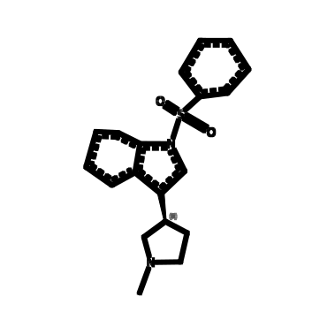 CN1CC[C@H](c2cn(S(=O)(=O)c3ccccc3)c3ccccc23)C1